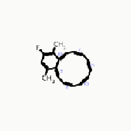 Cc1cc(F)c(C)c2/c1=C\C=C/C=C\C=C/C=C\C=2